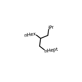 CCCCCCCCC(CCCCCC)CC(C)C